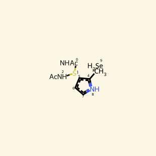 CC(=O)NSNC(C)=O.Cc1ccc[nH]1.[SeH2]